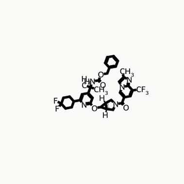 Cc1cn2cc(C(=O)N3C[C@@H]4C(Oc5cc(C(C)(C)NC(=O)OCc6ccccc6)cc(C6CCC(F)(F)CC6)n5)[C@@H]4C3)cc(C(F)(F)F)c2n1